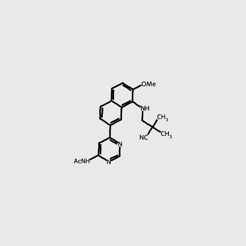 COc1ccc2ccc(-c3cc(NC(C)=O)ncn3)cc2c1NCC(C)(C)C#N